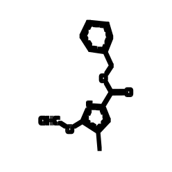 Cc1cc(C(=O)OCc2ccccc2)sc1OC=O